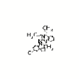 CCCC(c1ccccc1)N(CCC)c1nc(C)n(-c2ccc(Cl)cc2Cl)n1